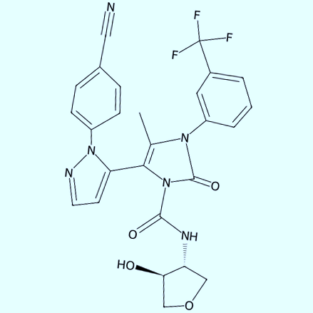 Cc1c(-c2ccnn2-c2ccc(C#N)cc2)n(C(=O)N[C@@H]2COC[C@H]2O)c(=O)n1-c1cccc(C(F)(F)F)c1